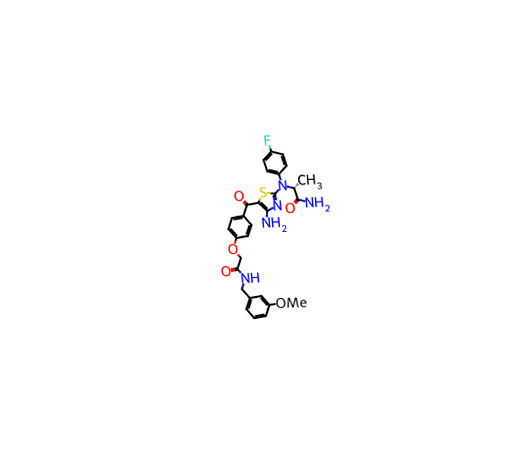 COc1cccc(CNC(=O)COc2ccc(C(=O)c3sc(N(c4ccc(F)cc4)[C@H](C)C(N)=O)nc3N)cc2)c1